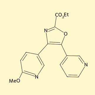 CCOC(=O)c1nc(-c2ccc(OC)nc2)c(-c2cccnc2)o1